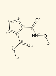 CONC(=O)c1ccsc1C(=O)OC